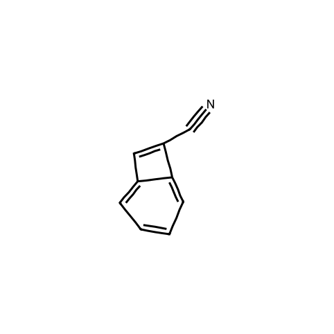 N#CC1=Cc2ccccc21